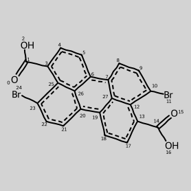 O=C(O)c1ccc2c3ccc(Br)c4c(C(=O)O)ccc(c5ccc(Br)c1c52)c43